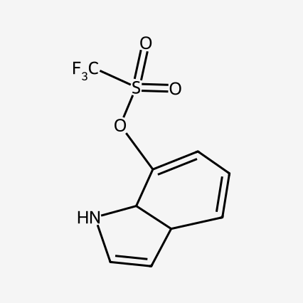 O=S(=O)(OC1=CC=CC2C=CNC12)C(F)(F)F